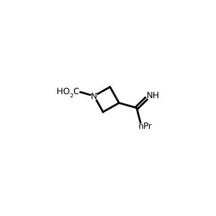 CCCC(=N)C1CN(C(=O)O)C1